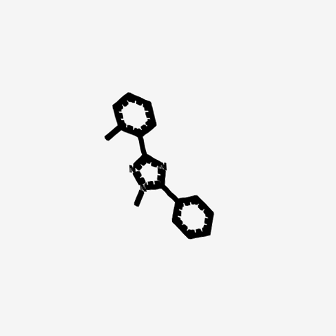 Cc1ccccc1-c1nc(-c2ccccc2)n(C)n1